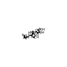 OC[C@H]1OC(n2cnc3c(NCc4ccc(F)o4)ncnc32)[C@@H](O)[C@@H]1O